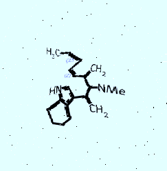 C=C(/C=C\C=C/C)C(NC)C(=C)c1c[nH]c2c1=CCCC=2